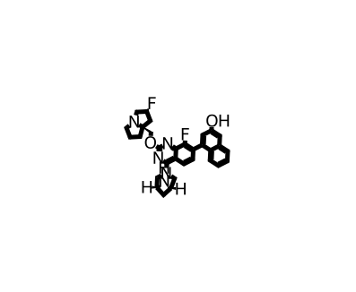 Oc1cc(-c2ccc3c(N4C[C@H]5C[C@@H](C4)N5)nc(OC[C@@]45CCCN4C[C@H](F)C5)nc3c2F)c2ccccc2c1